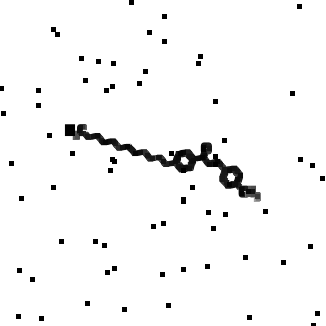 CCCCCCCCCCCCc1ccc(C(=O)C=Cc2ccc(C)cc2)cc1